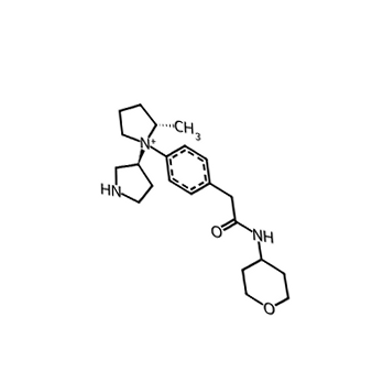 C[C@H]1CCC[N+]1(c1ccc(CC(=O)NC2CCOCC2)cc1)[C@H]1CCNC1